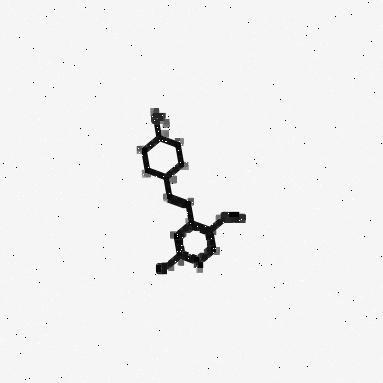 COc1cnc(Cl)cc1C=CC1CCC(C(F)(F)F)CC1